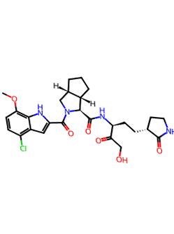 COc1ccc(Cl)c2cc(C(=O)N3C[C@@H]4CCC[C@@H]4[C@H]3C(=O)N[C@@H](CC[C@@H]3CCNC3=O)C(=O)CO)[nH]c12